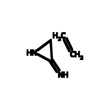 C=C.N=C1CN1